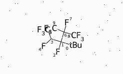 CC(C)(C)C(F)(C(F)C(F)(F)F)C(F)(C(F)(F)F)C(F)(F)F